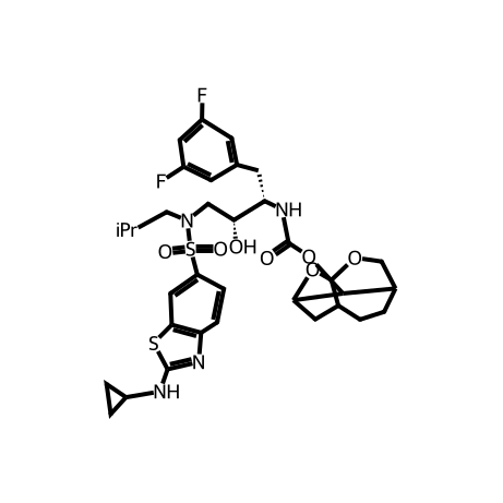 CC(C)CN(C[C@@H](O)[C@H](Cc1cc(F)cc(F)c1)NC(=O)OC1C2CCC3CC1OC3OC2)S(=O)(=O)c1ccc2nc(NC3CC3)sc2c1